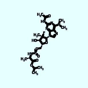 CC(=O)Nc1nc(N(C)C)c2ncn([C@@H]3O[C@H](CO[PH](=O)N[C@@H](C)C(=O)OC(C)C)[C@@H](O)[C@@]3(C)F)c2n1